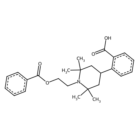 CC1(C)CC(c2ccccc2C(=O)O)CC(C)(C)N1CCOC(=O)c1ccccc1